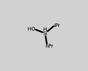 CCC[SiH](O)C(C)C